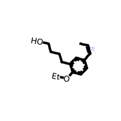 C/C=C\c1ccc(OCC)c(CCCCO)c1